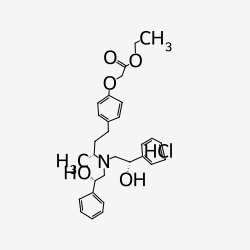 CCOC(=O)COc1ccc(CC[C@@H](C)N(C[C@@H](O)c2ccccc2)C[C@@H](O)c2ccccc2)cc1.Cl